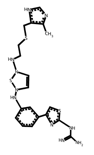 Cc1nc[nH]c1CSCCNN1C=CN(Nc2cccc(-c3csc(NC(=N)N)n3)c2)S1